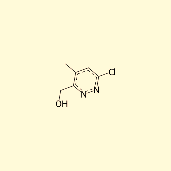 Cc1cc(Cl)nnc1CO